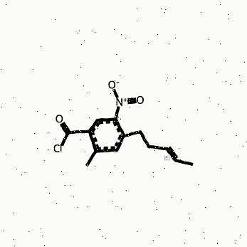 C/C=C/CCc1cc(C)c(C(=O)Cl)cc1[N+](=O)[O-]